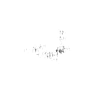 C=C1C[C@H]2C=Nc3cc(OCCCOc4cc5c(cc4OC)C(=O)N4CC(=C)C[C@H]4[C@H](O)N5C(=O)OCc4ccc(NC(=O)[C@H](C)NC(=O)[C@@H](NC(=S)CCOCCNC(=O)CCN5C(=O)C=CC5=O)C(C)C)cc4)c(OC)cc3C(=O)N2C1